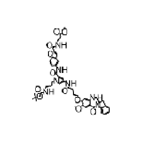 COC(=O)CCNC(=O)c1cc2cc(NC(=O)c3cc(NC(=O)CCCOc4cc5c(cc4OC)C(=O)N4c6ccccc6C[C@H]4C=N5)cn3CCCNC(=O)OC(C)(C)C)ccc2o1